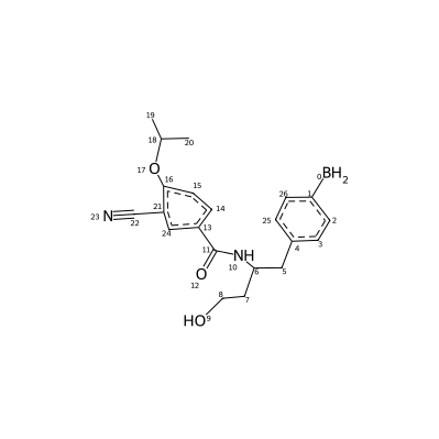 Bc1ccc(CC(CCO)NC(=O)c2ccc(OC(C)C)c(C#N)c2)cc1